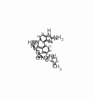 CN1CC[C@@H](NS2(=O)=NS(=O)(=O)c3c2ccc(-c2cccc4[nH]c(N)nc24)c3-c2nn[nH]n2)C1